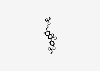 C=CC(=O)OCCCC1C=c2oc(=O)c(-c3ccc(OC(=O)C=C)cc3)cc2=C[C@@H]1C